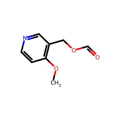 COc1ccncc1COC=O